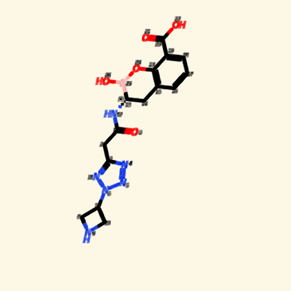 O=C(Cc1nnn(C2CNC2)n1)N[C@H]1Cc2cccc(C(=O)O)c2OB1O